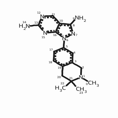 CN1Cc2cc(-n3nc(N)c4cnc(N)nc43)ccc2CC1(C)C